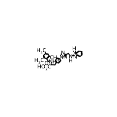 Cc1cc(C)c(C(=O)NC(Cc2ccc(-n3cnc(CNc4nc5ccccc5[nH]4)n3)cc2)C(=O)O)c(C)c1